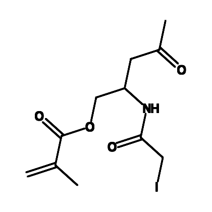 C=C(C)C(=O)OCC(CC(C)=O)NC(=O)CI